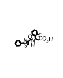 O=C(O)CC(NC(=O)c1csc(-c2ccccc2)n1)c1ccccc1F